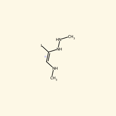 CN/C=C(/I)NNC